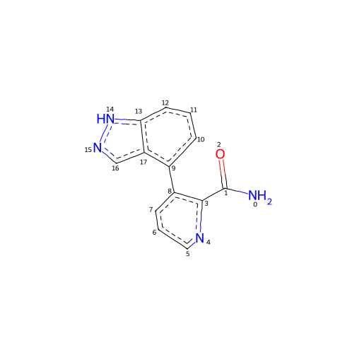 NC(=O)c1ncccc1-c1cccc2[nH]ncc12